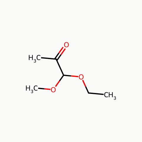 CCOC(OC)C(C)=O